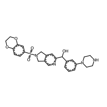 O=S(=O)(c1ccc2c(c1)OCCO2)N1Cc2cnc(C(O)c3cccc(N4CCNCC4)c3)cc2C1